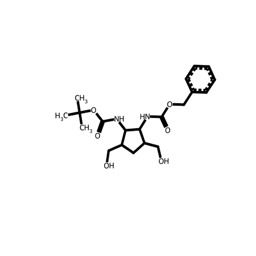 CC(C)(C)OC(=O)NC1C(CO)CC(CO)C1NC(=O)OCc1ccccc1